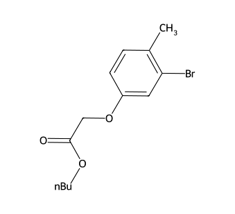 CCCCOC(=O)COc1ccc(C)c(Br)c1